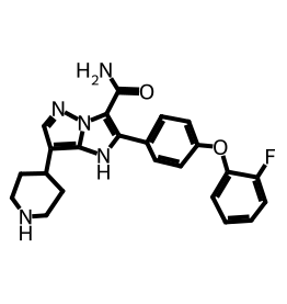 NC(=O)c1c(-c2ccc(Oc3ccccc3F)cc2)[nH]c2c(C3CCNCC3)cnn12